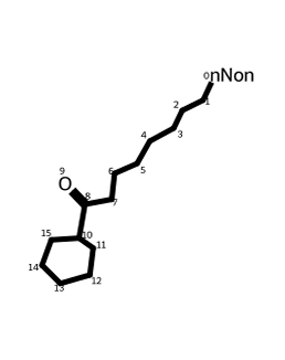 CCCCCCCCCCCCCCCCC(=O)C1CCCCC1